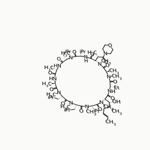 C/C=C/C[C@@H](C)[C@@H](O)[C@H]1C(=O)N[C@@H](CC)C(=O)N(C)[C@H](C)C(=O)N(C)[C@@H]([C@H](C)C(=O)N2CCOCC2)C(=O)N[C@@H](C(C)C)C(=O)N(C)[C@@H](CC(C)C)C(=O)N[C@@H](C)C(=O)N[C@H](C)C(=O)N(C)[C@@H](CC(C)C)C(=O)N(C)[C@@H](CC(C)C)C(=O)N(C)[C@@H](C(C)C)C(=O)N1C